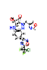 O=c1c(NCc2cocn2)c(Nc2ccc(-c3noc(C(F)(F)Cl)n3)cc2)c1=O